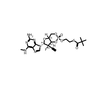 C#C[C@@]1(F)[C@@H]2OP(=O)(OCCSC(=O)C(C)(C)C)OC[C@H]2O[C@H]1n1cnc2c(NC)nc(N)nc21